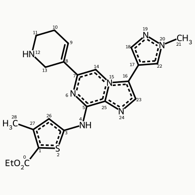 CCOC(=O)c1sc(Nc2nc(C3=CCCNC3)cn3c(-c4cnn(C)c4)cnc23)cc1C